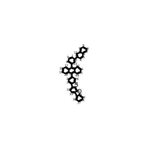 c1cc(-c2ccc3ccccc3c2)cc(-c2c3ccccc3c(-c3ccc4c(c3)sc3c4ccc4c5ccccc5oc43)c3ccccc23)c1